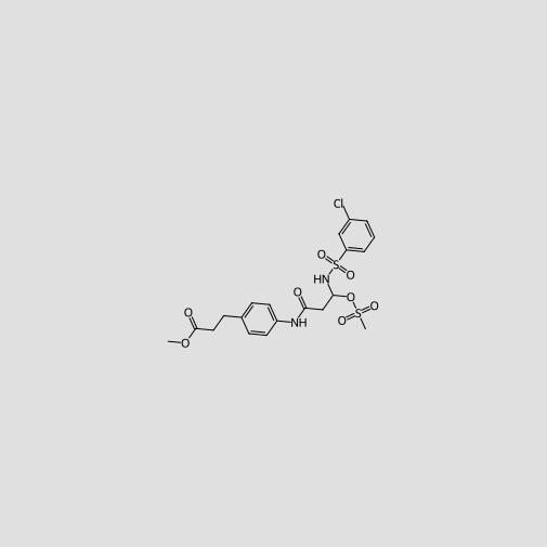 COC(=O)CCc1ccc(NC(=O)CC(NS(=O)(=O)c2cccc(Cl)c2)OS(C)(=O)=O)cc1